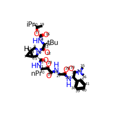 CCC[C@H](NC(=O)[C@@H]1C2C[C@H]2CN1C(=O)[C@@H](NC(=O)O[C@H](C)C(C)C)C(C)(C)C)C(=O)C(=O)NCC(=O)N[C@H](C(=O)N(C)C)c1ccccc1